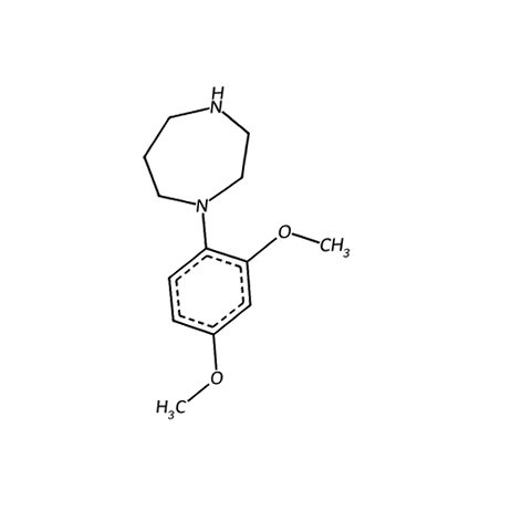 COc1ccc(N2CCCNCC2)c(OC)c1